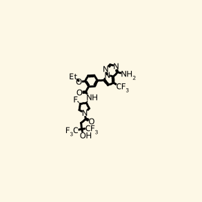 CCOc1ccc(-c2cc(C(F)(F)F)c3c(N)ncnn23)cc1C(=O)N[C@@H]1CN(C(=O)CC(O)(C(F)(F)F)C(F)(F)F)C[C@@H]1F